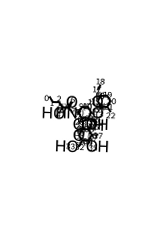 CCC[C@H](O)C(=O)N[C@@H]1C[C@H](C)C(O[C@H]2O[C@H](CC)CCC2C)C(O)(CC)[C@H]1O[C@H]1OC(CO)[C@@H](O)[C@H](C)C1O